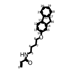 C=CC(=O)NCCCCOc1ccc2c(c1)Cc1ccccc1-2